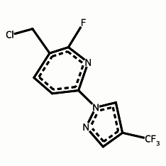 Fc1nc(-n2cc(C(F)(F)F)cn2)ccc1CCl